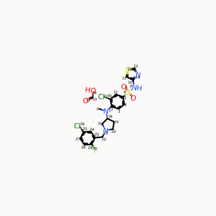 CN(c1ccc(S(=O)(=O)Nc2cscn2)cc1Cl)[C@H]1CCN(Cc2cc(Cl)ccc2F)C1.O=CO